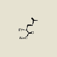 C=C(C)/C=C/C(C(=O)OC)C(C)C